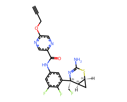 C#CCOc1cnc(C(=O)Nc2cc(F)c(F)c([C@@]3(CF)N=C(N)S[C@H]4C[C@H]43)c2)cn1